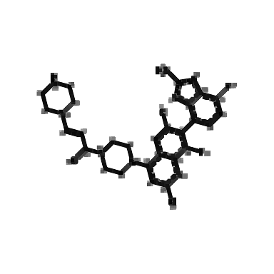 Nc1nc2c(-c3c(Cl)cc4c(N5CCN(C(=O)C=CN6CCNCC6)CC5)cc(Cl)nc4c3F)ccc(F)c2s1